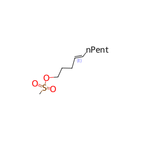 CCCCC/C=C/CCCOS(C)(=O)=O